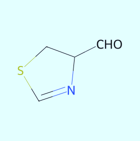 O=CC1CSC=N1